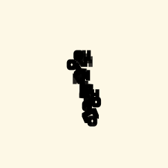 O=C(NO)c1cnc(N2C[C@@H]3CC2CN3C(=O)OC2CCOCC2)nc1